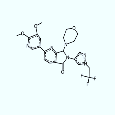 COc1cc(-c2ccc3c(n2)C(N2CCOCC2)N(c2cnn(CC(F)(F)F)c2)C3=O)cnc1OC